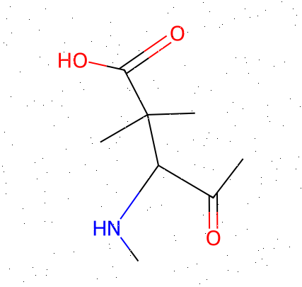 CNC(C(C)=O)C(C)(C)C(=O)O